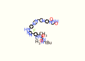 Cc1cc(-c2cc(Nc3ccc(N4CCN(CC5CCN(c6ccc(N7CCC(=O)NC7=O)cc6)CC5)CC4)cc3)ncn2)c(F)cc1[C@@H](C)NC(=O)c1nc(C(C)(C)C)no1